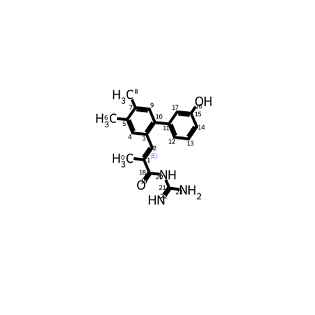 C/C(=C\c1cc(C)c(C)cc1-c1cccc(O)c1)C(=O)NC(=N)N